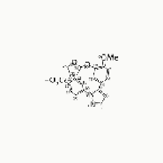 COc1ccc(-c2ccnn2-c2ccc(C(=O)O)cc2)cc1OC1CCCO1